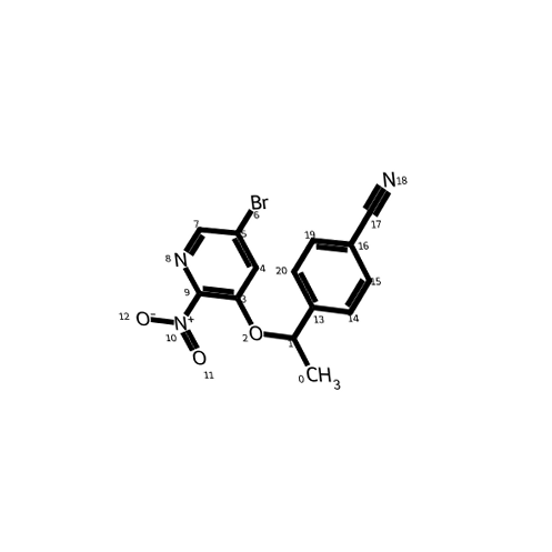 CC(Oc1cc(Br)cnc1[N+](=O)[O-])c1ccc(C#N)cc1